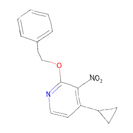 O=[N+]([O-])c1c(C2CC2)ccnc1OCc1ccccc1